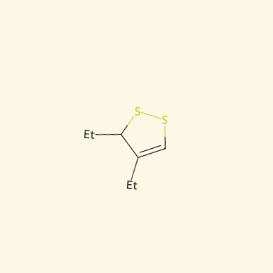 CCC1=CSSC1CC